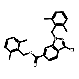 Cc1cccc(C)c1COC(=O)c1ccc2c(Cl)nn(Cc3c(C)cccc3C)c2c1